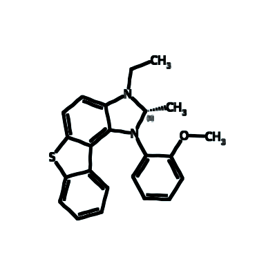 CCN1c2ccc3sc4ccccc4c3c2N(c2ccccc2OC)[C@H]1C